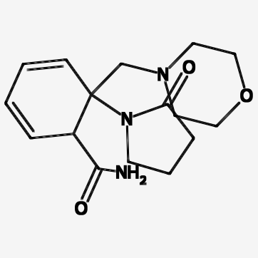 NC(=O)C1C=CC=CC1(CN1CCOCC1)N1CCCC1=O